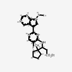 CCOC(=O)CC(Nc1nc(-c2cn(SI)c3ncncc23)ncc1F)C1(C)CCCC1